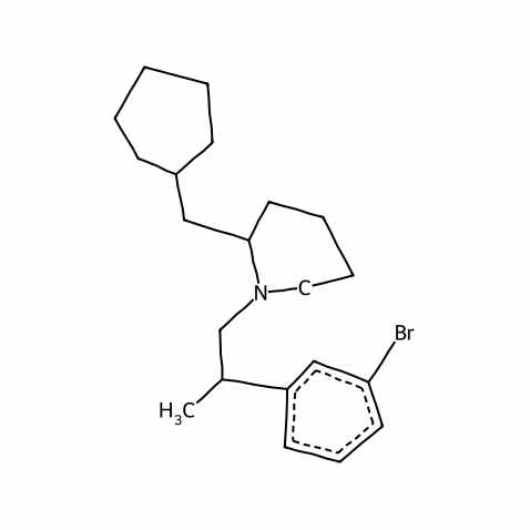 CC(CN1CCCCC1CC1CCCCC1)c1cccc(Br)c1